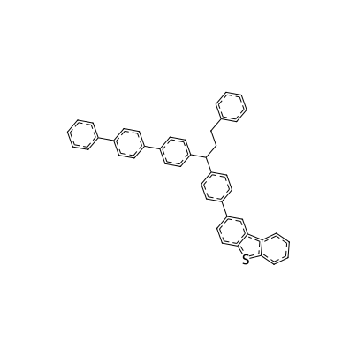 c1ccc(CCC(c2ccc(-c3ccc(-c4ccccc4)cc3)cc2)c2ccc(-c3ccc4sc5ccccc5c4c3)cc2)cc1